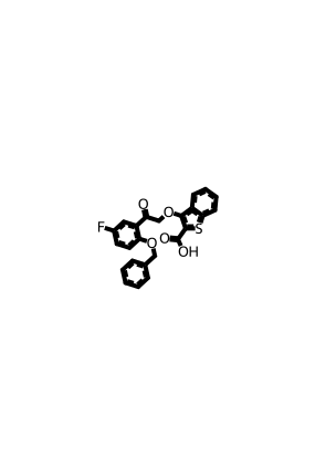 O=C(COc1c(C(=O)O)sc2ccccc12)c1cc(F)ccc1OCc1ccccc1